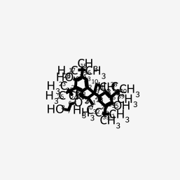 CCC(C(=O)OCCO)C(CC)(c1cc(C(C)(C)C)c(O)c(C(C)(C)C)c1)c1cc(C(C)(C)C)c(O)c(C(C)(C)C)c1